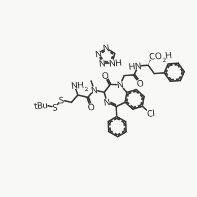 CN(C(=O)C(N)CSSC(C)(C)C)C1N=C(c2ccccc2)c2cc(Cl)ccc2N(CC(=O)N[C@@H](Cc2ccccc2)C(=O)O)C1=O.c1nnn[nH]1